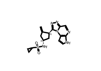 C=C1C[C@@H](NS(=O)(=O)C2CC2)C[C@@H]1c1nnc2cnc3[nH]ccc3n12